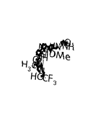 COc1nc(-c2ccnc(-c3cccc(NC(=O)c4nc5c(n4C)CCN(C[C@@H](O)C(F)(F)F)C5)c3Cl)c2Cl)ccc1CNC[C@@H]1CCC(=O)N1